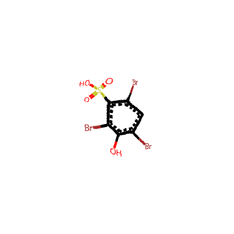 O=S(=O)(O)c1c(Br)cc(Br)c(O)c1Br